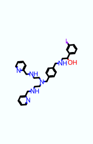 OC(CNCc1ccc(CN(CCNCc2ccccn2)CCNCc2ccccn2)cc1)c1cccc(I)c1